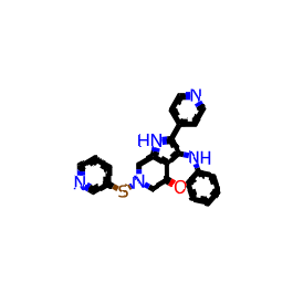 O=C1CN(Sc2cccnc2)Cc2[nH]c(-c3ccncc3)c(Nc3ccccc3)c21